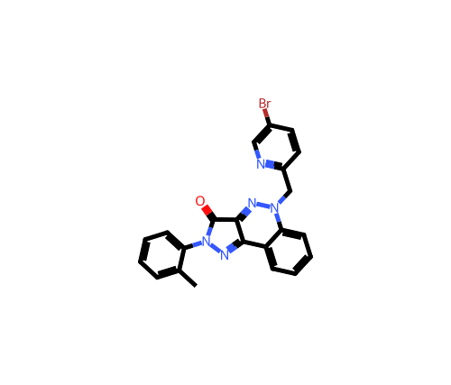 Cc1ccccc1-n1nc2c3ccccc3n(Cc3ccc(Br)cn3)nc-2c1=O